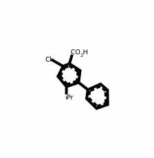 CC(C)c1cc(Cl)c(C(=O)O)cc1-c1ccccc1